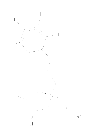 CCO[Si](CCCc1cc(F)c(F)c(F)c1F)(OCC)OCC